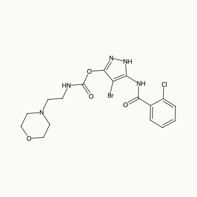 O=C(NCCN1CCOCC1)Oc1n[nH]c(NC(=O)c2ccccc2Cl)c1Br